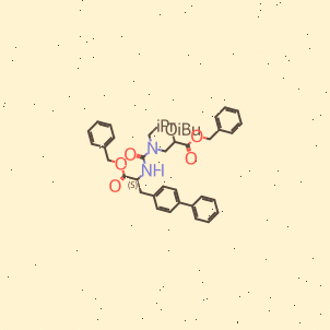 CC(C)COC(CN(CC(C)C)C(=O)N[C@@H](Cc1ccc(-c2ccccc2)cc1)C(=O)OCc1ccccc1)C(=O)OCc1ccccc1